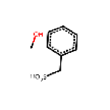 CO.O=S(=O)(O)Cc1ccccc1